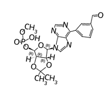 COP(=O)(O)O[C@H]1O[C@@H](n2cnc3c(-c4cccc(C=O)c4)ncnc32)[C@@H]2OC(C)(C)O[C@@H]12